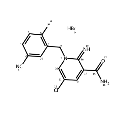 Br.N#Cc1ccc(F)c(Cn2cc(Cl)cc(C(N)=O)c2=N)c1